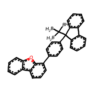 BC(B)(B)C1(c2ccc(-c3cccc4c3oc3ccccc34)cc2)c2ccccc2-c2ccccc21